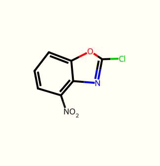 O=[N+]([O-])c1cccc2oc(Cl)nc12